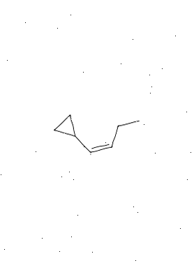 CC/C=[C]\C1CC1